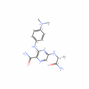 CC[C@@H](Nc1cnc(C(N)=O)c(Nc2ccc(N(C)C(C)=O)cc2)n1)C(N)=O